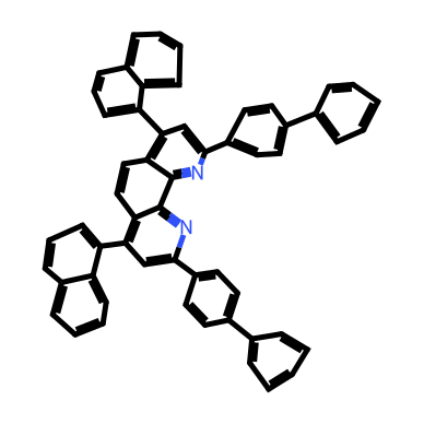 c1ccc(-c2ccc(-c3cc(-c4cccc5ccccc45)c4ccc5c(-c6cccc7ccccc67)cc(-c6ccc(-c7ccccc7)cc6)nc5c4n3)cc2)cc1